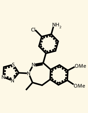 COc1cc2c(cc1OC)C(c1ccc(N)c(Cl)c1)=NN(c1nncs1)C(C)C2